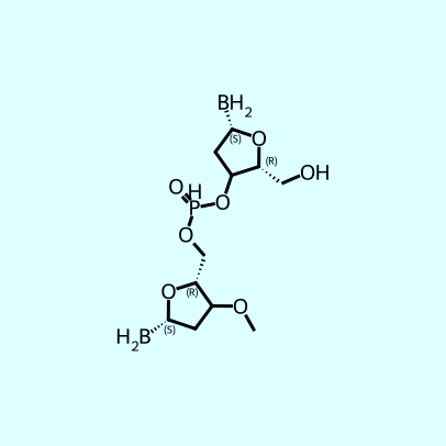 B[C@H]1CC(OC)[C@@H](CO[PH](=O)OC2C[C@H](B)O[C@@H]2CO)O1